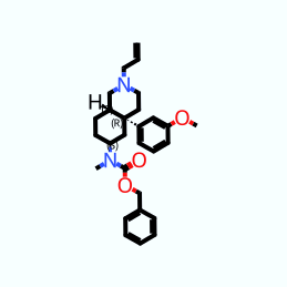 C=CCN1CC[C@@]2(c3cccc(OC)c3)C[C@@H](N(C)C(=O)OCc3ccccc3)CC[C@@H]2C1